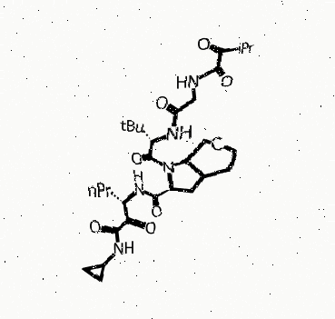 CCC[C@H](NC(=O)[C@@H]1CC2CCCCC2N1C(=O)[C@@H](NC(=O)CNC(=O)C(=O)C(C)C)C(C)(C)C)C(=O)C(=O)NC1CC1